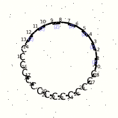 [C]1=C/C=C\C=C/C=C\C=C/C=C\C=C/CCCCCCCCCCCCCCC\1